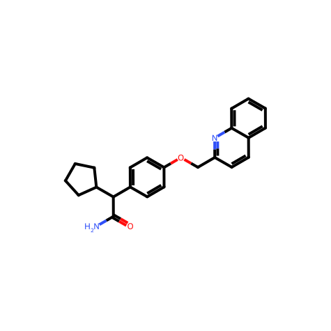 NC(=O)C(c1ccc(OCc2ccc3ccccc3n2)cc1)C1CCCC1